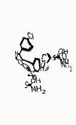 C.C=CC.CS(=O)(=O)c1ccccc1-c1ocnc1-c1ccc(Cl)cc1.NC(O)=S.NC(O)=S.O